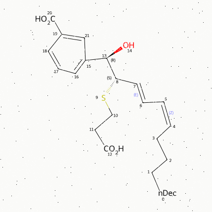 CCCCCCCCCCCCC/C=C\C=C\[C@H](SCCC(=O)O)[C@H](O)c1cccc(C(=O)O)c1